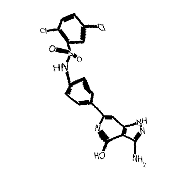 Nc1n[nH]c2cc(-c3ccc(NS(=O)(=O)c4cc(Cl)ccc4Cl)cc3)nc(O)c12